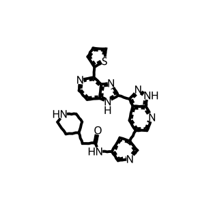 O=C(CC1CCNCC1)Nc1cncc(-c2cnc3[nH]nc(-c4nc5c(-c6cccs6)nccc5[nH]4)c3c2)c1